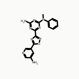 CN(c1ccccc1)c1nc(N)nc(-c2noc(-c3cncc(N)c3)n2)n1